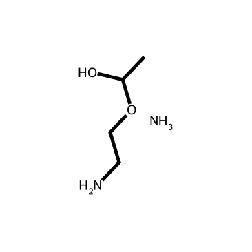 CC(O)OCCN.N